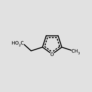 Cc1ccc(CC(=O)O)o1